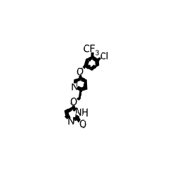 O=c1nccc(OCc2ccc(Oc3ccc(Cl)c(C(F)(F)F)c3)cn2)[nH]1